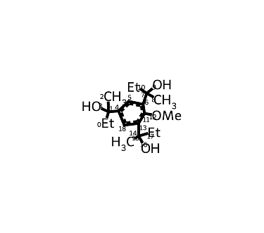 CCC(C)(O)c1cc(C(C)(O)CC)c(OC)c(C(C)(O)CC)c1